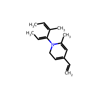 C=CC1=CCN(C(=C/C)/C(C)=C\C)C(C)=C1